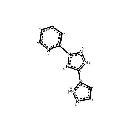 c1ccc(-n2nnc(-c3ccn[nH]3)n2)nc1